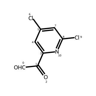 O=CC(=O)c1cc(Cl)cc(Cl)n1